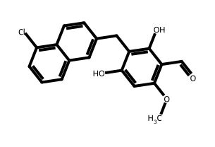 COc1cc(O)c(Cc2ccc3c(Cl)cccc3c2)c(O)c1C=O